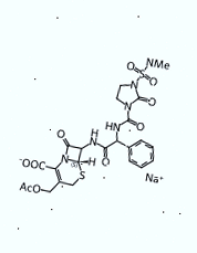 CNS(=O)(=O)N1CCN(C(=O)NC(C(=O)NC2C(=O)N3C(C(=O)[O-])=C(COC(C)=O)CS[C@@H]23)c2ccccc2)C1=O.[Na+]